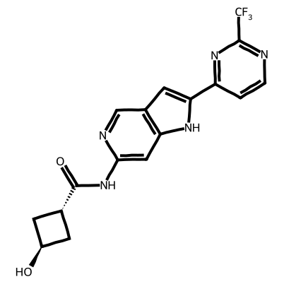 O=C(Nc1cc2[nH]c(-c3ccnc(C(F)(F)F)n3)cc2cn1)[C@H]1C[C@H](O)C1